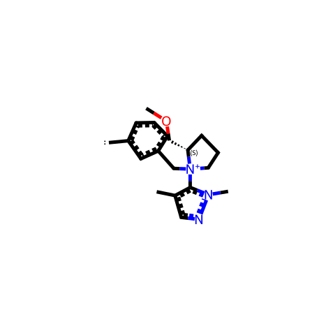 [CH]c1cccc(C[N+]2(c3c(C)cnn3C)CCC[C@H]2COC)c1